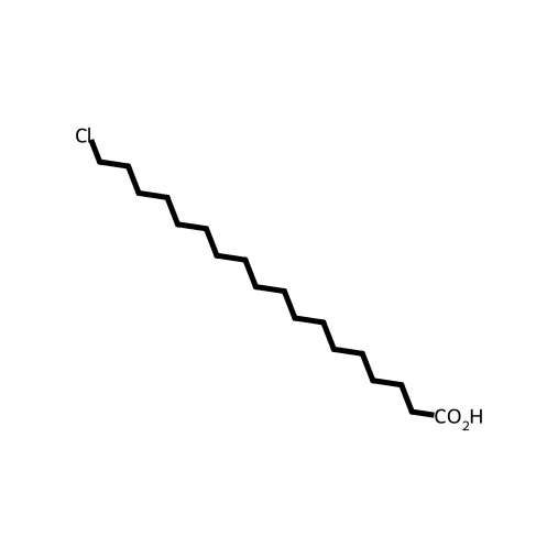 O=C(O)CCCCCCCCCCCCCCCCCCl